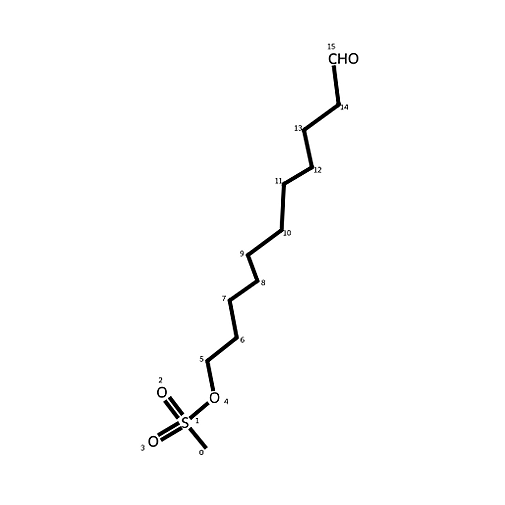 CS(=O)(=O)OCCCCCCCCCCC=O